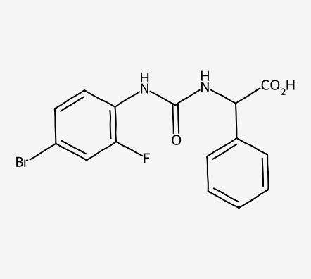 O=C(Nc1ccc(Br)cc1F)NC(C(=O)O)c1ccccc1